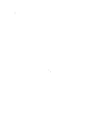 FC(F)(F)c1ccc(CCn2c3ccccc3c3ccccc32)cc1